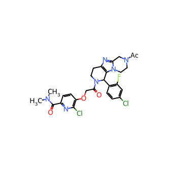 CC(=O)N1CCn2c(nc3c2C(c2ccc(Cl)cc2F)N(C(=O)COc2ccc(C(=O)N(C)C)nc2Cl)CC3)C1